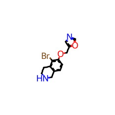 Brc1c(OCc2cnco2)ccc2c1CCNC2